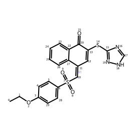 CCOc1ccc(S(=O)(=O)/C=C2/C=C(Sc3nc[nH]n3)C(=O)c3ccccc32)cc1